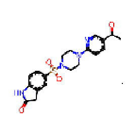 CC(=O)c1ccc(N2CCN(S(=O)(=O)c3ccc4c(c3)CC(=O)N4)CC2)nc1